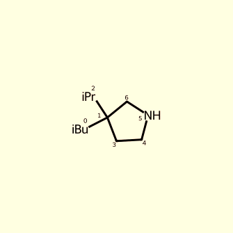 CCC(C)C1(C(C)C)CCNC1